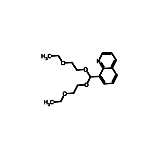 CCOCCOC(OCCOCC)c1cccc2cccnc12